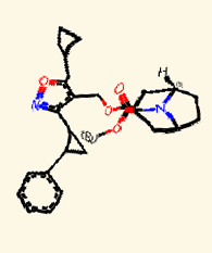 CC(C)(C)OC(=O)N1C2CC[C@H]1CC(OCc1c(C3CC3c3ccccc3)noc1C1CC1)C2